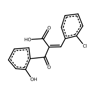 O=C(O)C(=Cc1ccccc1Cl)C(=O)c1ccccc1O